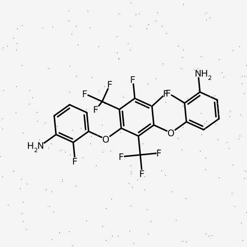 Nc1cccc(Oc2c(F)c(F)c(C(F)(F)F)c(Oc3cccc(N)c3F)c2C(F)(F)F)c1F